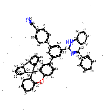 N#Cc1ccc(-c2cc(-c3ccc4c(c3)C3(c5ccccc5O4)c4ccccc4-c4ccccc43)cc(C3N=C(c4ccccc4)c4ccccc4N3)c2)cc1